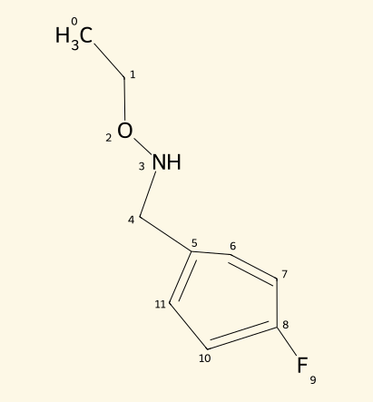 CCONCc1ccc(F)cc1